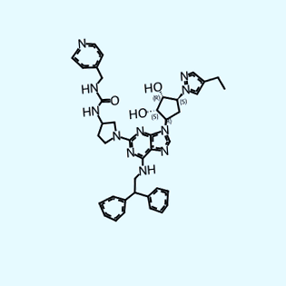 CCc1cnn([C@H]2C[C@@H](n3cnc4c(NCC(c5ccccc5)c5ccccc5)nc(N5CCC(NC(=O)NCc6ccncc6)C5)nc43)[C@H](O)[C@@H]2O)c1